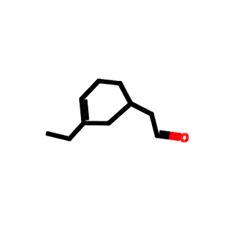 CCC1=CCCC(CC=O)C1